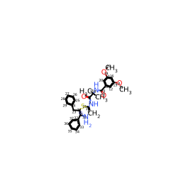 C=C(NC(=O)C(C)(C)NC(=O)c1cc(OC)cc(OC)c1)S/C(Cc1ccccc1)=C(\N)c1ccccc1